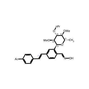 CCCO[C@@H]1[C@@H](OC)[C@H](C)O[C@@H](c2cc(/C=C/c3ccc(C(C)=O)cc3)ccc2C=NO)[C@H]1OC